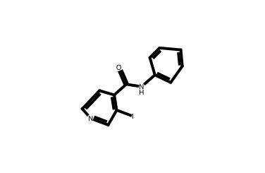 O=C(Nc1ccccc1)c1ccncc1I